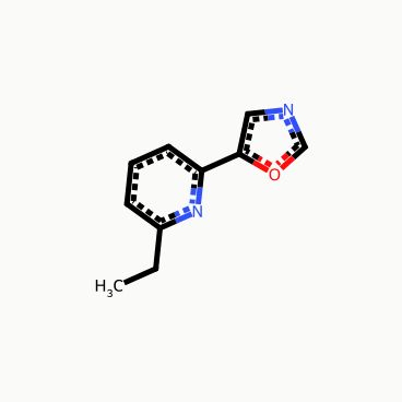 CCc1cccc(-c2cnco2)n1